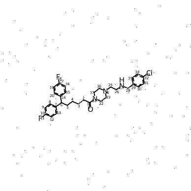 O=C(CCCCC(c1ccc(F)cc1)c1ccc(F)cc1)N1CCN(CCNCc2ccc(Cl)cc2)CC1